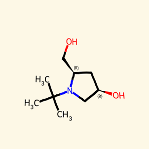 CC(C)(C)N1C[C@H](O)C[C@@H]1CO